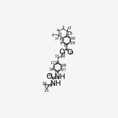 CC1(C)CCC(C)(C)c2cc(C(=O)OCCc3ccc(NC(=O)NC4CC4)cc3)ccc21